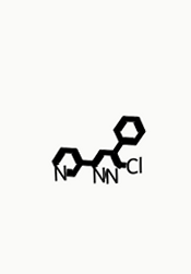 Clc1nnc(-c2cccnc2)cc1-c1ccccc1